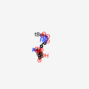 C[C@H](NC(=O)OC(C)(C)C)C(=O)N[C@@H](C)C(=O)Nc1cccc(Cc2ccc([C@@H]3O[C@@H]4C[C@H]5[C@@H]6CCC7=CC(=O)C=C[C@]7(C)[C@H]6[C@@H](O)C[C@]5(C)[C@]4(C(=O)COC(=O)CN(C)C)O3)cc2)c1